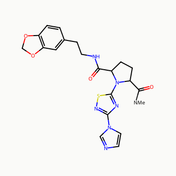 CNC(=O)C1CCC(C(=O)NCCc2ccc3c(c2)OCO3)N1c1nc(-n2ccnc2)ns1